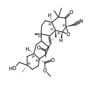 COC(=O)[C@@]12CCC([C@]3(C)CC[C@H]4C(C)(C)C(=O)[C@]5(C#N)O[C@@H]5[C@]4(C)/C3=C/C(C)=O)C[C@@H]1C[C@](C)(CO)CC2